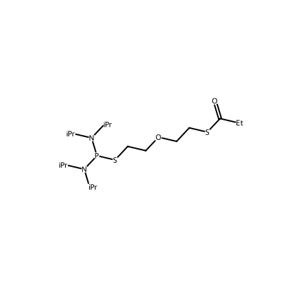 CCC(=O)SCCOCCSP(N(C(C)C)C(C)C)N(C(C)C)C(C)C